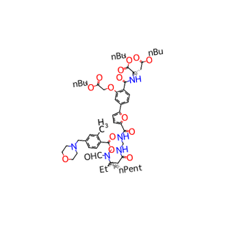 CCCCC[C@@H](C(=O)NCNC(=O)c1ccc(-c2ccc(C(=O)N[C@@H](CC(=O)OCCCC)C(=O)OCCCC)c(OCC(=O)OCCCC)c2)o1)[C@@H](CC)N(C=O)OC(=O)c1ccc(CN2CCOCC2)cc1C